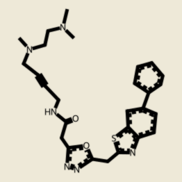 CN(C)CCN(C)CC#CCNC(=O)Cc1nnc(Cc2nc3ccc(-c4ccccc4)cc3s2)o1